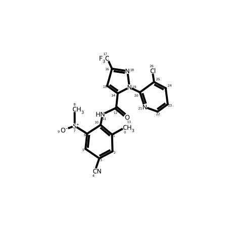 Cc1cc(C#N)cc([S+](C)[O-])c1NC(=O)c1cc(C(F)(F)F)nn1-c1ncccc1Cl